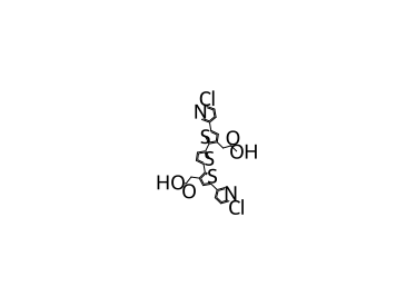 O=C(O)Cc1cc(-c2ccc(Cl)nc2)sc1-c1ccc(-c2sc(-c3ccc(Cl)nc3)cc2CC(=O)O)s1